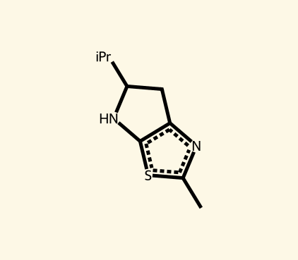 Cc1nc2c(s1)NC(C(C)C)C2